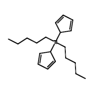 CCCC[CH2][Ti]([CH2]CCCC)([CH]1C=CC=C1)[CH]1C=CC=C1